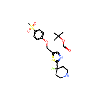 CC(C)(C)OC=O.CS(=O)(=O)c1ccc(OCc2cnc(C3(F)CCNCC3)s2)cc1